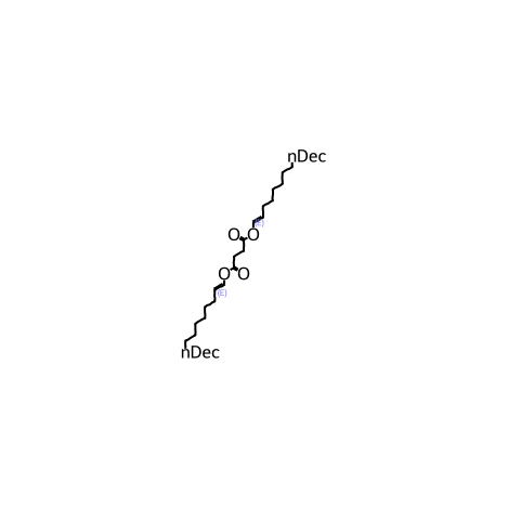 CCCCCCCCCCCCCCCC/C=C/OC(=O)CCC(=O)O/C=C/CCCCCCCCCCCCCCCC